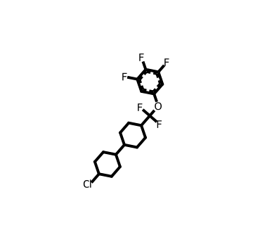 Fc1cc(OC(F)(F)C2CCC(C3CCC(Cl)CC3)CC2)cc(F)c1F